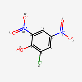 O=[N+]([O-])c1cc(Cl)c(O)c([N+](=O)[O-])c1